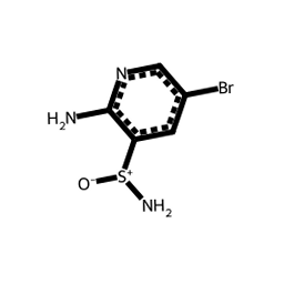 Nc1ncc(Br)cc1[S+](N)[O-]